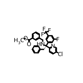 COC(=O)c1cccc(CN[C@@](Cc2ccccc2)(c2cc(F)cc(C(F)(F)F)c2)c2ccc(Cl)cn2)c1